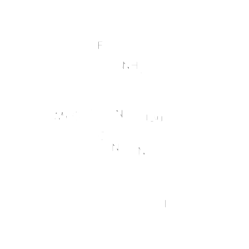 COCC(=O)N(CC[C@@H](N)CF)[C@@H](c1nc(-c2ccccc2)cn1Cc1cc(F)ccc1F)C(C)(C)C